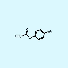 CCCc1ccc(OC(=O)S(=O)(=O)O)cc1